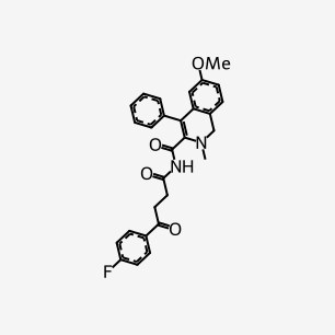 COc1ccc2c(c1)C(c1ccccc1)=C(C(=O)NC(=O)CCC(=O)c1ccc(F)cc1)N(C)C2